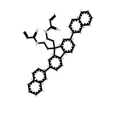 C=CC(=O)OCCC1(CCOC(=O)C=C)c2cc(-c3ccc4ccccc4c3)ccc2-c2ccc(-c3ccc4ccccc4c3)cc21